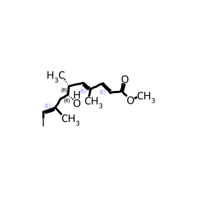 COC(=O)/C=C/C(C)=C/[C@@H](C)[C@H](O)C/C(C)=C/I